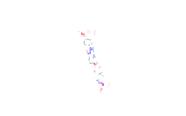 COC(=O)N1CCC(COC2CCN(C(=O)N[C@H]3CC[C@H](C(=O)O)CC3)CC2)CC1